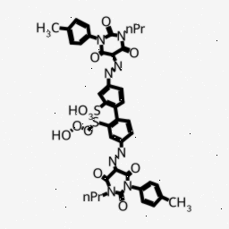 CCCN1C(=O)C(N=Nc2ccc(-c3ccc(N=NC4C(=O)N(CCC)C(=O)N(c5ccc(C)cc5)C4=O)cc3S(=O)(=O)O)c(SOOO)c2)C(=O)N(c2ccc(C)cc2)C1=O